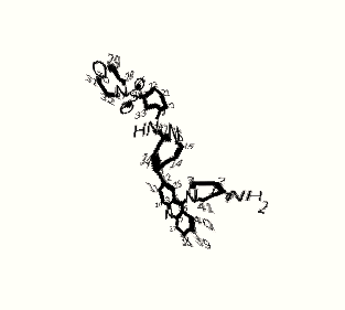 N[C@H]1CCN(c2c3c(nc4ccc(-c5ccnc(Nc6cccc(S(=O)(=O)N7CCOCC7)c6)c5)cc24)CCCC3)C1